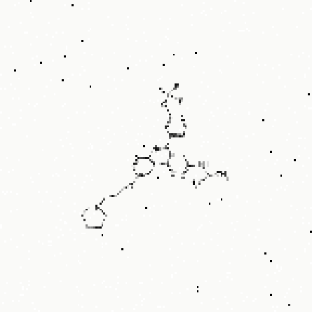 CC(C)NC(=O)Cn1c(-c2cccc(OC(F)(F)F)c2)nc2ccc(OCCCN3CCCCC3)cc2c1=O